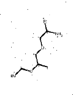 CCC(C)COC(C)COCC(N)CC